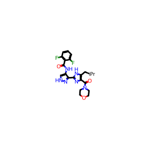 CC(C)Cc1[nH]c(-c2n[nH]cc2NC(=O)c2c(F)cccc2F)nc1C(=O)N1CCOCC1